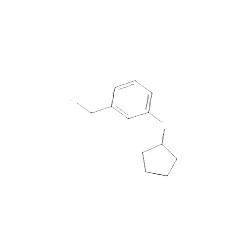 BrCc1cccc(SC2CCCC2)c1